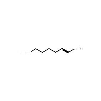 C[CH]CCCCCCCC/C=C/CCCC